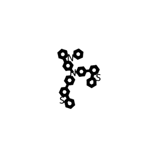 c1ccc(-n2c3ccccc3c3ccc(N(c4ccc(-c5ccc6sc7ccccc7c6c5)cc4)c4ccc(-c5cccc6sc7ccccc7c56)cc4)cc32)cc1